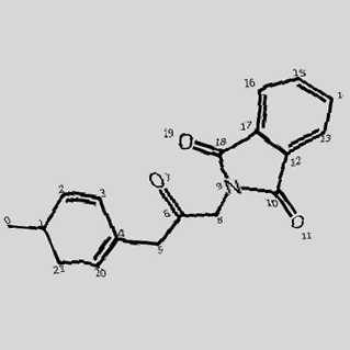 CC1C=CC(CC(=O)CN2C(=O)c3ccccc3C2=O)=CC1